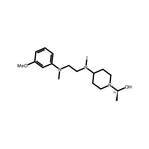 COc1cccc(N(C)CCN(I)C2CCN([C@H](C)O)CC2)c1